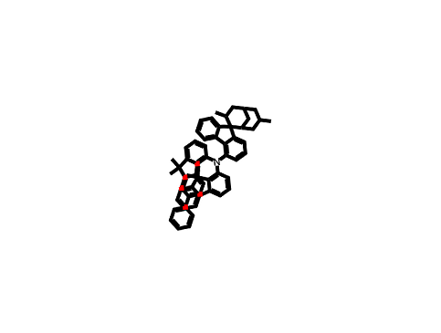 CC1CC2CC(C)C3(c4ccccc4-c4c(N(c5cccc6c5-c5ccc(-c7ccccc7)cc5C6(C)C)c5cccc6c5C(C)(C)c5ccccc5-6)cccc43)C(C1)C2